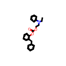 CCN(CCOC(=O)Oc1ccccc1Cc1ccccc1)c1ccccc1